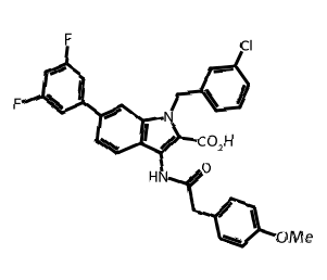 COc1ccc(CC(=O)Nc2c(C(=O)O)n(Cc3cccc(Cl)c3)c3cc(-c4cc(F)cc(F)c4)ccc23)cc1